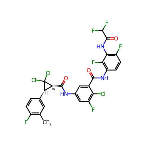 O=C(Nc1ccc(F)c(NC(=O)C(F)F)c1F)c1cc(NC(=O)[C@H]2[C@H](c3ccc(F)c(C(F)(F)F)c3)C2(Cl)Cl)cc(F)c1Cl